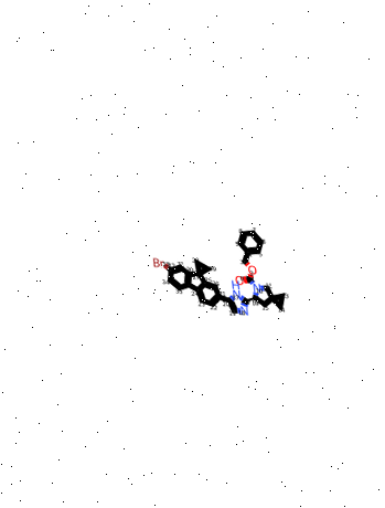 O=C(OCc1ccccc1)N1CC2(CC2)C[C@H]1c1ncc(-c2ccc3c(c2)C2(CC2)c2cc(Br)ccc2-3)[nH]1